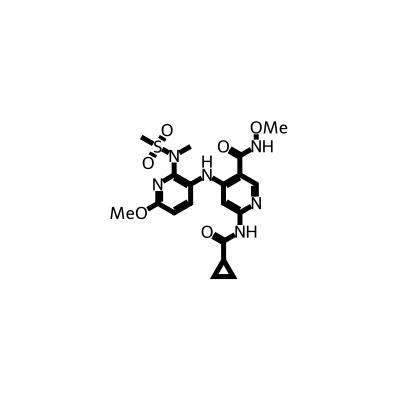 CONC(=O)c1cnc(NC(=O)C2CC2)cc1Nc1ccc(OC)nc1N(C)S(C)(=O)=O